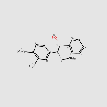 CNC[C@H](c1ccc(OC)c(C)c1)[C@H](O)c1ccccc1